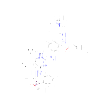 C=CC(=O)Nc1cc(Nc2ncc(C#N)c(Nc3ccccc3P(C)(C)=O)n2)c(OC)cc1C1CCN(C)CC1